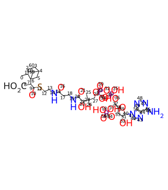 CC1CCC2CC1(C(C(=O)O)C(=O)SCCNC(=O)CCNC(=O)[C@H](O)C(C)(C)COP(=O)(O)OP(=O)(O)OC[C@H]1O[C@@H](n3cnc4c(N)ncnc43)[C@H](O)[C@@H]1OP(=O)(O)O)C2(C)C